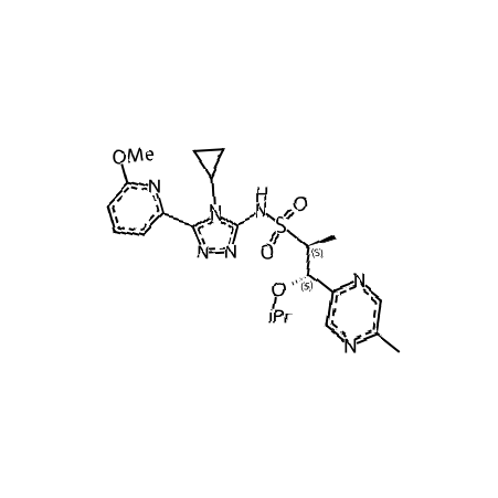 COc1cccc(-c2nnc(NS(=O)(=O)[C@@H](C)[C@@H](OC(C)C)c3cnc(C)cn3)n2C2CC2)n1